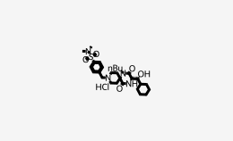 CCCCN1C(=O)[C@@H]([C@H](O)C2CCCCC2)NC(=O)C12CCN(Cc1ccc(S(=O)(=O)N(C)C)cc1)CC2.Cl